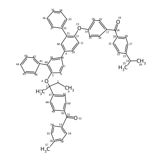 CCC(C)(Oc1ccc(-c2ccc(Oc3ccc(C(=O)c4ccc(C(C)C)cc4)cc3)c(-c3ccccc3)c2)cc1-c1ccccc1)c1ccc(C(=O)c2ccc(C)cc2)cc1